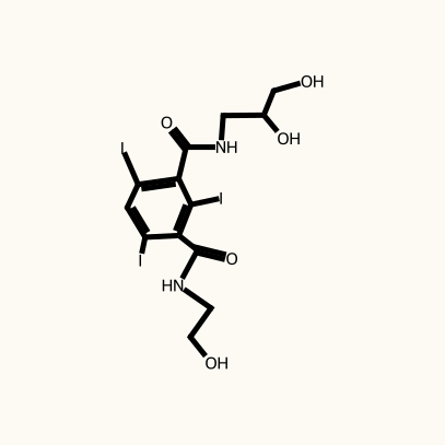 O=C(NCCO)c1c(I)cc(I)c(C(=O)NCC(O)CO)c1I